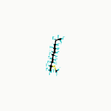 F[C](C(F)(F)F)C(F)(F)C(F)(F)C(F)(F)C(F)(F)C(F)(F)C(F)(F)C(F)(SC(F)(F)F)C(F)(F)F